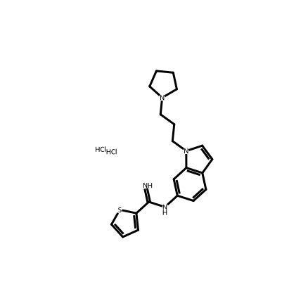 Cl.Cl.N=C(Nc1ccc2ccn(CCCN3CCCC3)c2c1)c1cccs1